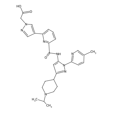 Cc1ccc(-n2nc(C3CCN(C(C)C)CC3)cc2NC(=O)c2cccc(-c3cnn(CC(=O)O)c3)n2)nc1